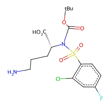 CC(C)(C)OC(=O)N([C@H](CCCN)C(=O)O)S(=O)(=O)c1ccc(F)cc1Cl